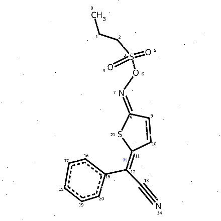 CCCS(=O)(=O)ON=C1C=C/C(=C(\C#N)c2ccccc2)S1